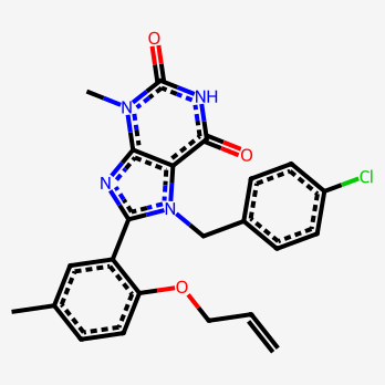 C=CCOc1ccc(C)cc1-c1nc2c(c(=O)[nH]c(=O)n2C)n1Cc1ccc(Cl)cc1